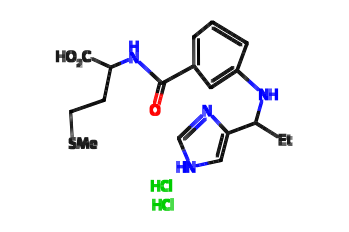 CCC(Nc1cccc(C(=O)NC(CCSC)C(=O)O)c1)c1c[nH]cn1.Cl.Cl